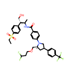 CCS(=O)(=O)c1ccc([C@H](CO)C(C)NC(=O)c2ccc(N3CC(c4ccc(C(F)(F)F)cc4)C[C@H]3COCCC(F)F)cc2)cc1